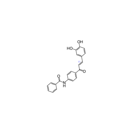 O=C(/C=C/c1ccc(O)c(O)c1)c1ccc(NC(=O)c2ccccc2)cc1